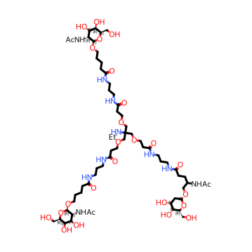 CCNC(COCCC(=O)NCCCNC(=O)CCCCO[C@@H]1O[C@H](CO)[C@H](O)[C@H](O)[C@H]1NC(C)=O)(COCCC(=O)NCCCNC(=O)CCCCO[C@@H]1O[C@H](CO)[C@H](O)[C@H](O)[C@H]1NC(C)=O)COCCC(=O)NCCCNC(=O)CCC(CO[C@H]1C[C@@H](O)[C@@H](O)[C@@H](CO)O1)NC(C)=O